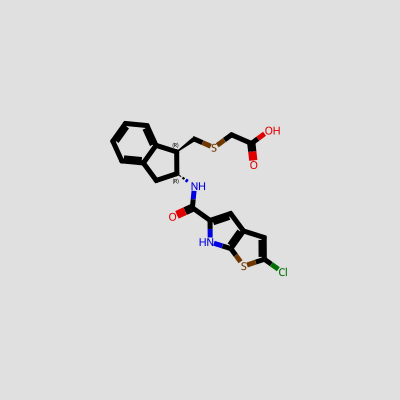 O=C(O)CSC[C@@H]1c2ccccc2C[C@H]1NC(=O)c1cc2cc(Cl)sc2[nH]1